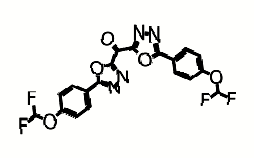 O=C(c1nnc(-c2ccc(OC(F)F)cc2)o1)c1nnc(-c2ccc(OC(F)F)cc2)o1